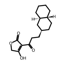 O=C(CC[C@@H]1CC[C@H]2CCCC[C@@H]2C1)C1=C(O)COC1=O